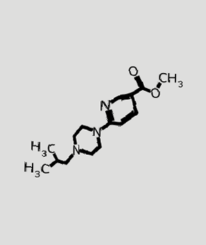 COC(=O)c1ccc(N2CCN(CC(C)C)CC2)nc1